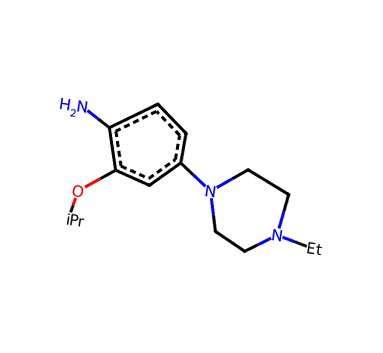 CCN1CCN(c2ccc(N)c(OC(C)C)c2)CC1